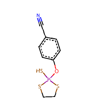 N#Cc1ccc(O[P]2(S)SCCS2)cc1